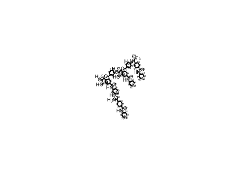 CC(OCc1ccccc1)(C(=O)NO)C1CCC(C(=O)Nc2ccncc2)CC1.CC(OCc1ccccc1)(C(=O)NO)C1CCC(C(=O)Nc2ccncc2)CC1.CCC(N)C1CCC(C(=O)Nc2ccncc2)CC1.CCC(N)[C@H]1CC[C@H](C(=O)Nc2ccncc2)CC1